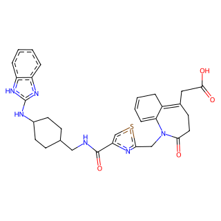 O=C(O)CC1=C2CC=CC=C2N(Cc2nc(C(=O)NCC3CCC(Nc4nc5ccccc5[nH]4)CC3)cs2)C(=O)CC1